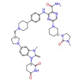 C=C1N(C)c2cc(N3CC[C@@H](CN4CCC(c5ccc(Nc6nc(N7CCC[C@@H](N8CCN(C)C8=O)C7)cnc6C(N)=O)cc5)CC4)C3)ccc2N1[C@@H]1CCC(=O)NC1=O